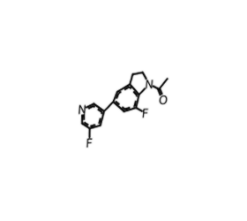 CC(=O)N1CCc2cc(-c3cncc(F)c3)cc(F)c21